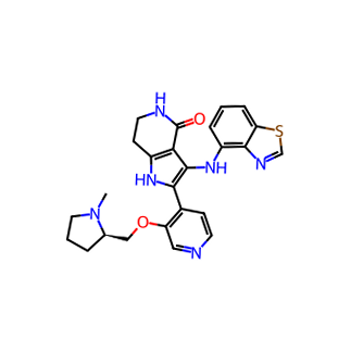 CN1CCC[C@@H]1COc1cnccc1-c1[nH]c2c(c1Nc1cccc3scnc13)C(=O)NCC2